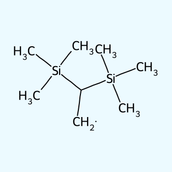 [CH2]C([Si](C)(C)C)[Si](C)(C)C